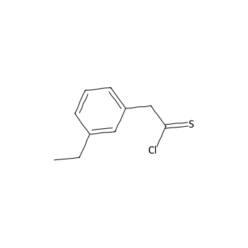 CCc1cccc(CC(=S)Cl)c1